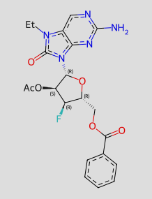 CCn1c(=O)n([C@@H]2O[C@H](COC(=O)c3ccccc3)[C@@H](F)[C@H]2OC(C)=O)c2nc(N)ncc21